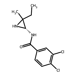 CCC1(C)N[C@H]1NC(=O)c1ccc(Cl)c(Cl)c1